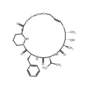 CC(C)[C@@H]1NC(=O)[C@H](C)[C@@H](O)[C@@H](C)C/C=C/CCCCOC(=O)[C@@H]2CCCN(N2)C(=O)[C@H](Cc2ccccc2)NC1=O